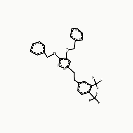 FC(F)(F)c1ccc(CCc2cc(OCc3ccccc3)c(OCc3ccccc3)nn2)cc1C(F)(F)F